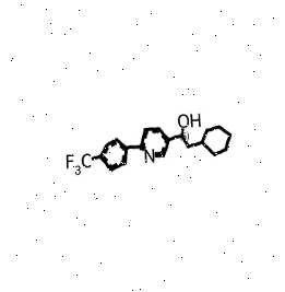 O[C@@H](CC1CCCCC1)c1ccc(-c2ccc(C(F)(F)F)cc2)nc1